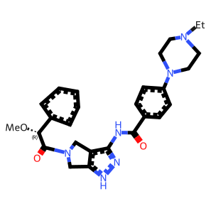 CCN1CCN(c2ccc(C(=O)Nc3n[nH]c4c3CN(C(=O)[C@H](OC)c3ccccc3)C4)cc2)CC1